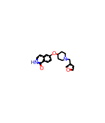 O=c1[nH]ccc2cc(OC3CCN(Cc4ccoc4)CC3)ccc12